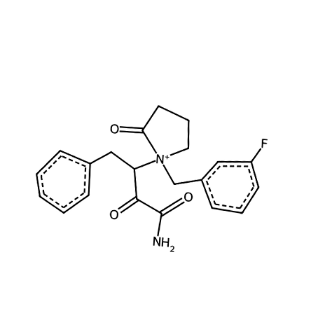 NC(=O)C(=O)C(Cc1ccccc1)[N+]1(Cc2cccc(F)c2)CCCC1=O